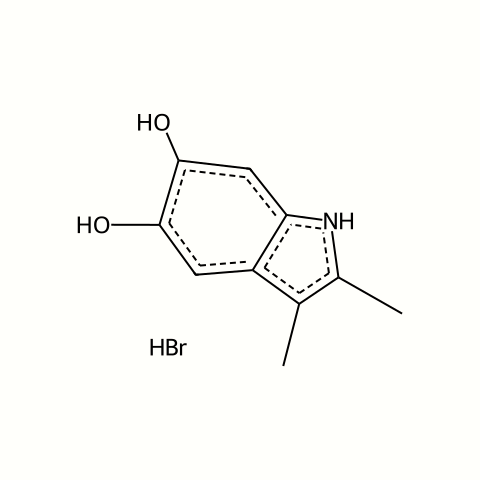 Br.Cc1[nH]c2cc(O)c(O)cc2c1C